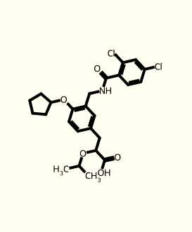 CC(C)OC(Cc1ccc(OC2CCCC2)c(CNC(=O)c2ccc(Cl)cc2Cl)c1)C(=O)O